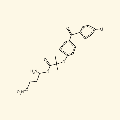 CC(C)(Oc1ccc(C(=O)c2ccc(Cl)cc2)cc1)C(=O)OC(N)CCO[N+](=O)[O-]